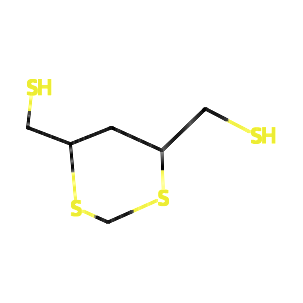 SCC1CC(CS)SCS1